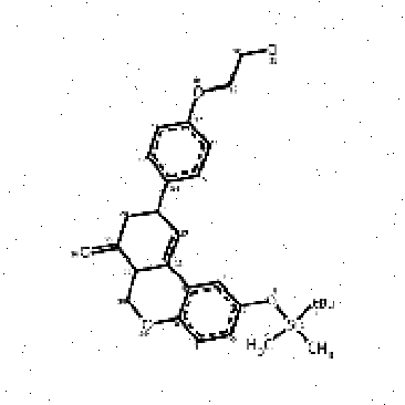 CC(C)(C)[Si](C)(C)Oc1ccc2c(c1)C1=CC(c3ccc(OCCCl)cc3)CC(=O)C1CO2